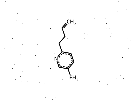 C=CCCc1ccc(P)cn1